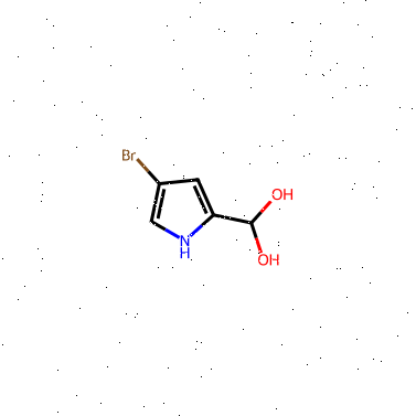 OC(O)c1cc(Br)c[nH]1